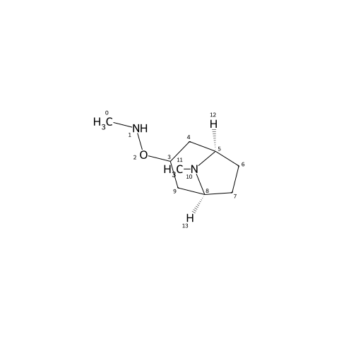 CNOC1C[C@H]2CC[C@@H](C1)N2C